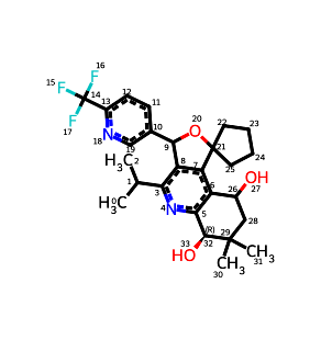 CC(C)c1nc2c(c3c1C(c1ccc(C(F)(F)F)nc1)OC31CCCC1)C(O)CC(C)(C)[C@H]2O